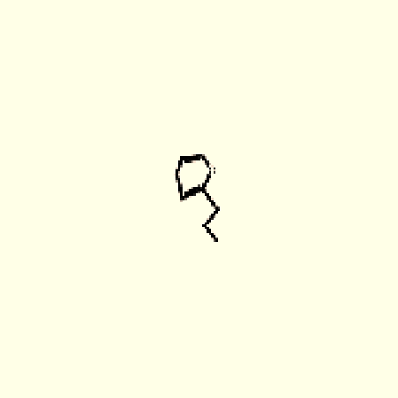 [CH2]CCC1=CCC=CO1